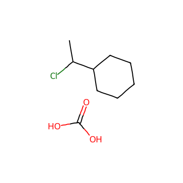 CC(Cl)C1CCCCC1.O=C(O)O